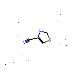 N#CC1=CSC[N]1